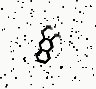 COc1cc2ncccc2cc1C